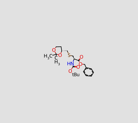 CC(C)(C)OC(=O)N[C@@H](CSC[C@H]1CCOC(C)(C)O1)C(=O)OCc1ccccc1